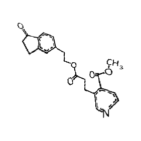 COC(=O)c1ccncc1CCC(=O)OCCc1ccc2c(c1)CCC2=O